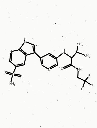 CC(C)C(Nc1cncc(-c2c[nH]c3ncc(S(N)(=O)=O)cc23)c1)C(=O)NCC(F)(F)F